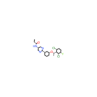 C=CC(=O)Nc1cnc(-c2cccc(OC(C)c3c(Cl)ccc(F)c3Cl)c2)nc1